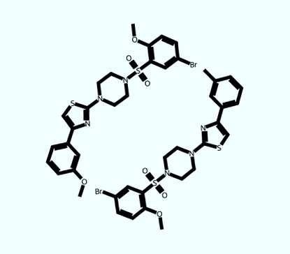 COc1ccc(Br)cc1S(=O)(=O)N1CCN(c2nc(-c3cccc(C)c3)cs2)CC1.COc1cccc(-c2csc(N3CCN(S(=O)(=O)c4cc(Br)ccc4OC)CC3)n2)c1